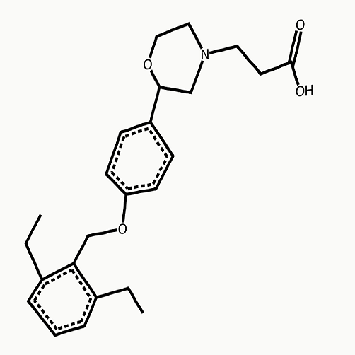 CCc1cccc(CC)c1COc1ccc(C2CN(CCC(=O)O)CCO2)cc1